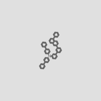 c1ccc(-c2ccc(N(c3ccc(-c4ccccc4)cc3)c3cccc(-c4cccc(-c5ccc6c(-c7ccccc7)cccc6c5)c4)c3)cc2)cc1